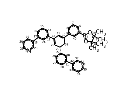 CC1(C)OB(c2cccc(C3=CC(c4cccc(-c5cccnc5)c4)=C[C@@H](c4cccc(-c5cccnc5)c4)C3)c2)OC1(C)C